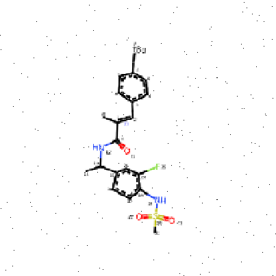 C/C(=C\c1ccc(C(C)(C)C)cc1)C(=O)NC(C)c1ccc(NS(C)(=O)=O)c(F)c1